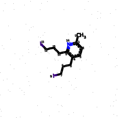 Cc1ccc(CCCI)c(CCCI)n1